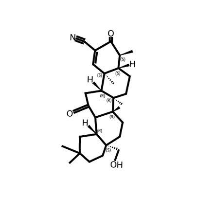 C[C@@H]1C(=O)C(C#N)=C[C@]2(C)[C@H]3CC(=O)C4[C@H]5CC(C)(C)CC[C@]5(CO)CC[C@@]4(C)[C@]3(C)CC[C@@H]12